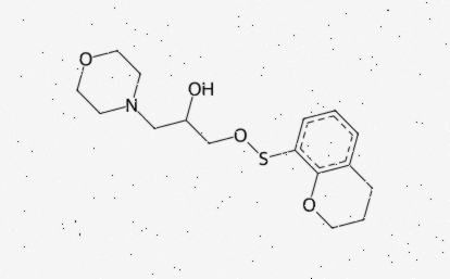 OC(COSc1cccc2c1OCCC2)CN1CCOCC1